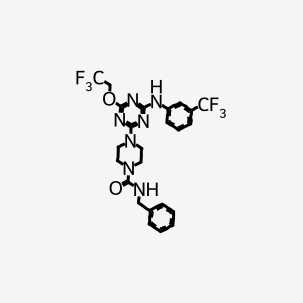 O=C(NCc1ccccc1)N1CCN(c2nc(Nc3cccc(C(F)(F)F)c3)nc(OCC(F)(F)F)n2)CC1